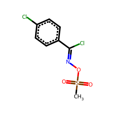 CS(=O)(=O)O/N=C(\Cl)c1ccc(Cl)cc1